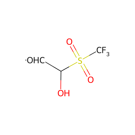 O=[C]C(O)S(=O)(=O)C(F)(F)F